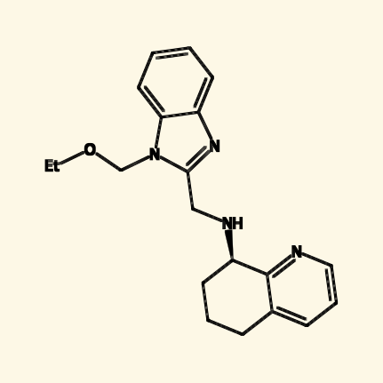 CCOCn1c(CN[C@@H]2CCCc3cccnc32)nc2ccccc21